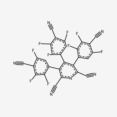 N#Cc1nc(C#N)c(-c2cc(F)c(C#N)c(F)c2F)c(-c2cc(F)c(C#N)c(F)c2F)c1-c1cc(F)c(C#N)c(F)c1F